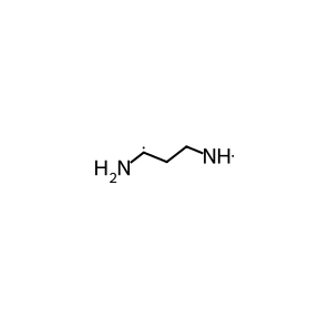 [NH]CC[CH]N